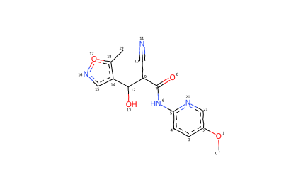 COc1ccc(NC(=O)C(C#N)C(O)c2cnoc2C)nc1